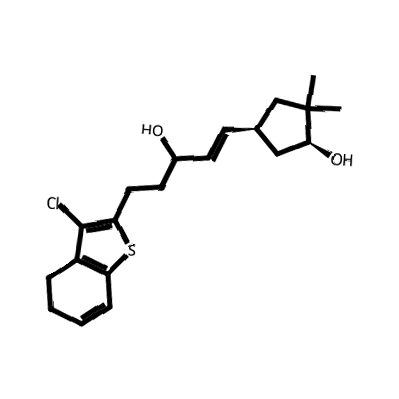 CC1(C)C[C@H](/C=C/C(O)CCc2sc3c(c2Cl)CCC=C3)C[C@@H]1O